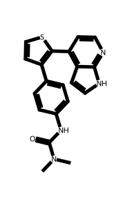 CN(C)C(=O)Nc1ccc(-c2ccsc2-c2ccnc3[nH]ccc23)cc1